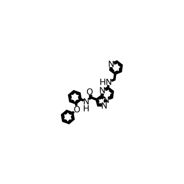 O=C(Nc1ccccc1Oc1ccccc1)c1cnn2ccc(NCc3cccnc3)nc12